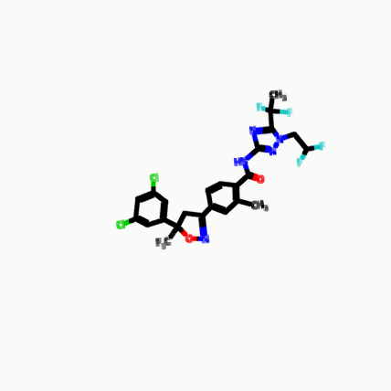 Cc1cc(C2=NOC(c3cc(Cl)cc(Cl)c3)(C(F)(F)F)C2)ccc1C(=O)Nc1nc(C(C)(F)F)n(CC(F)F)n1